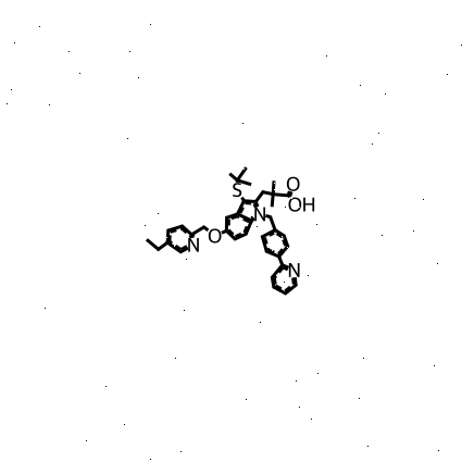 CCc1ccc(COc2ccc3c(c2)c(SC(C)(C)C)c(CC(C)(C)C(=O)O)n3Cc2ccc(-c3ccccn3)cc2)nc1